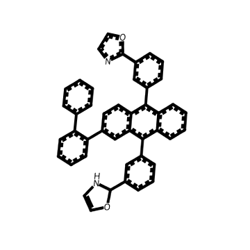 C1=COC(c2cccc(-c3c4ccccc4c(-c4cccc(-c5ncco5)c4)c4ccc(-c5ccccc5-c5ccccc5)cc34)c2)N1